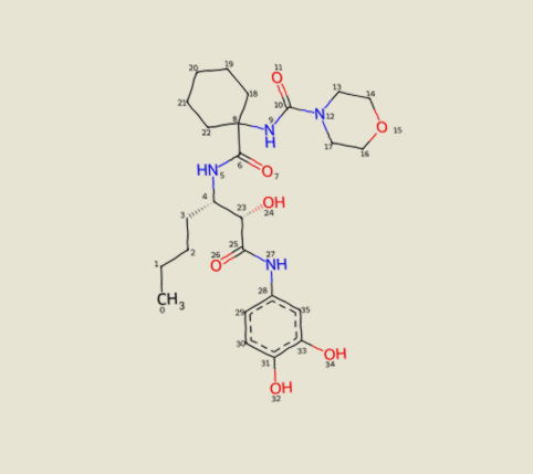 CCCC[C@H](NC(=O)C1(NC(=O)N2CCOCC2)CCCCC1)[C@H](O)C(=O)Nc1ccc(O)c(O)c1